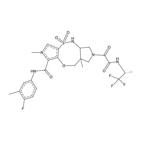 Cc1cc(NC(=O)c2c3c(cn2C)S(=O)(=O)NC2CN(C(=O)C(=O)N[C@H](C)C(F)(F)F)CC2(C)CO3)ccc1F